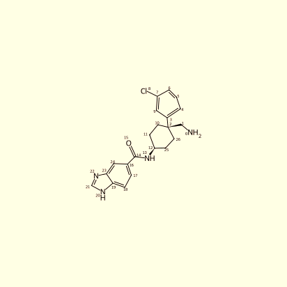 NC[C@]1(c2cccc(Cl)c2)CC[C@H](NC(=O)c2ccc3[nH]cnc3c2)CC1